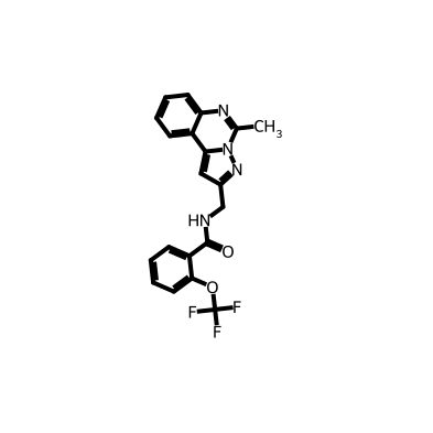 Cc1nc2ccccc2c2cc(CNC(=O)c3ccccc3OC(F)(F)F)nn12